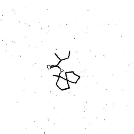 CCC(C)C(=O)OC1(C)CCCC12CCCC2